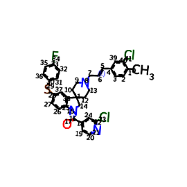 Cc1ccc(/C=C/CN2CCC3(CC2)CN(C(=O)c2ccnc(Cl)c2)c2ccc(Sc4ccc(F)cc4)cc23)cc1Cl